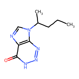 CCCC(C)n1cnc2c(=O)[nH]nnc21